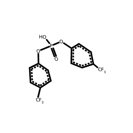 O=P(O)(Oc1ccc(C(F)(F)F)cc1)Oc1ccc(C(F)(F)F)cc1